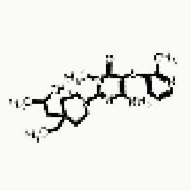 CCC1(CC(C)C)CCN(c2nc(N)c(Sc3cccnc3C)c(=O)n2C)CC1